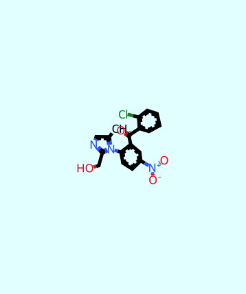 Cc1cnc(CO)n1-c1ccc([N+](=O)[O-])cc1C(=O)c1ccccc1Cl